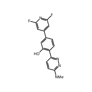 CNc1ccc(-c2ccc(-c3cc(F)nc(F)c3)cc2O)nn1